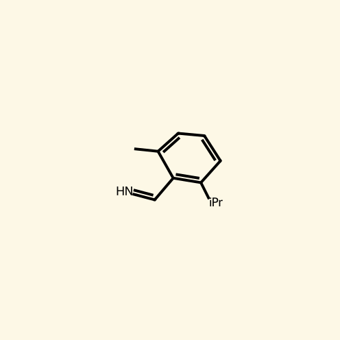 Cc1cccc(C(C)C)c1C=N